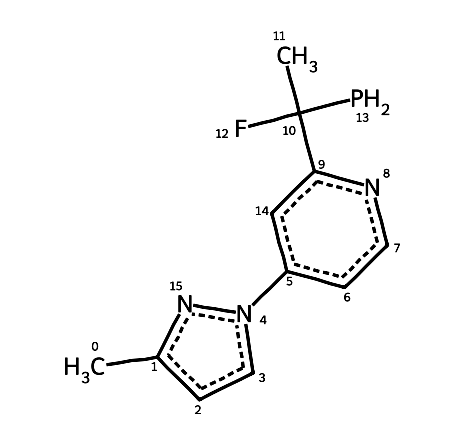 Cc1ccn(-c2ccnc(C(C)(F)P)c2)n1